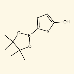 CC1(C)OB(c2ccc(O)s2)OC1(C)C